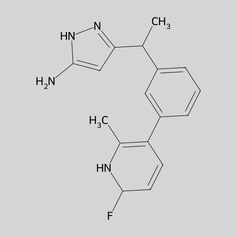 CC1=C(c2cccc(C(C)c3cc(N)[nH]n3)c2)C=CC(F)N1